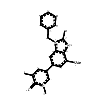 CSc1cc(-c2cc(C)c(=O)n(C)c2)cc2c1nc(C)n2Cc1ccccc1